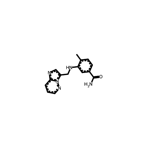 Cc1ccc(C(N)=O)cc1NCc1cnc2cccnn12